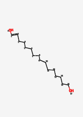 OC=CCCCCCCCCCCCCCCO